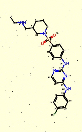 CCNCC1CCCN(S(=O)(=O)c2ccc(Nc3nccc(Nc4ccc(F)cc4)n3)cc2)C1